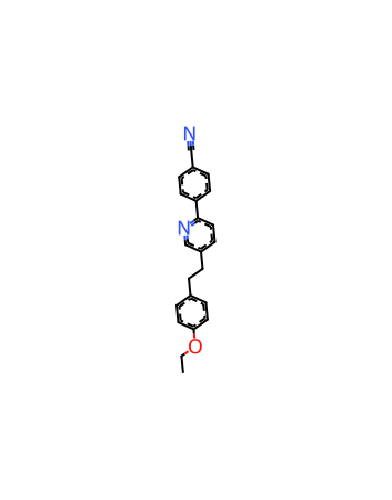 CCOc1ccc(CCc2ccc(-c3ccc(C#N)cc3)nc2)cc1